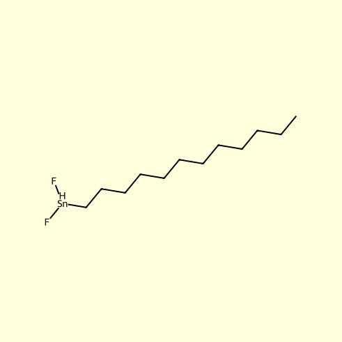 CCCCCCCCCCC[CH2][SnH]([F])[F]